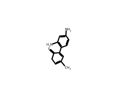 CC1=CCC(=S)C(c2ccc(N)cc2N)=C1